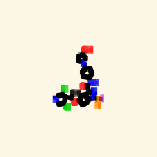 CC(Oc1ccc2c(c1)c(C(=O)Nc1ccc(N3CC[C@@H](O)C3)cc1)nn2PI)c1c(Cl)cncc1Cl